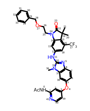 CC(=O)Nc1cc(Oc2ccc3nc(Nc4cc5c(c(C(F)(F)F)c4)C(C)(C)C(=O)N5CCOCc4ccccc4)n(C)c3c2)ccn1